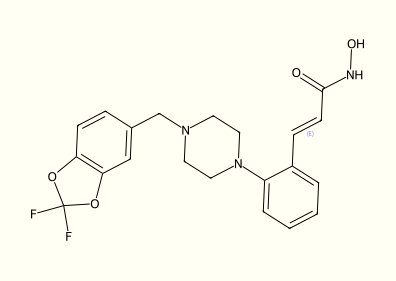 O=C(/C=C/c1ccccc1N1CCN(Cc2ccc3c(c2)OC(F)(F)O3)CC1)NO